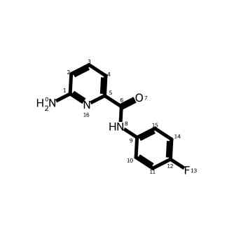 Nc1cccc(C(=O)Nc2ccc(F)cc2)n1